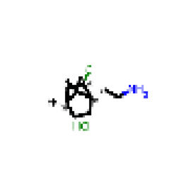 CC1(C)[C@H]2CC[C@]1(CCN)[C@H](Cl)C2.Cl